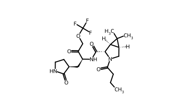 CCCC(=O)N1C[C@H]2[C@@H]([C@H]1C(=O)N[C@@H](C[C@@H]1CCNC1=O)C(=O)COC(F)(F)F)C2(C)C